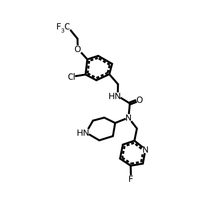 O=C(NCc1ccc(OCC(F)(F)F)c(Cl)c1)N(Cc1ccc(F)cn1)C1CCNCC1